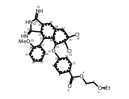 CCOCCOC(=O)c1ccc(Oc2c(Cl)c(Cl)cc3cc4c(c(-c5ccccc5OC)c23)C(=N)NC4=N)cc1